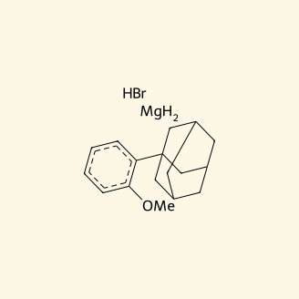 Br.COc1ccccc1C12CC3CC(CC(C3)C1)C2.[MgH2]